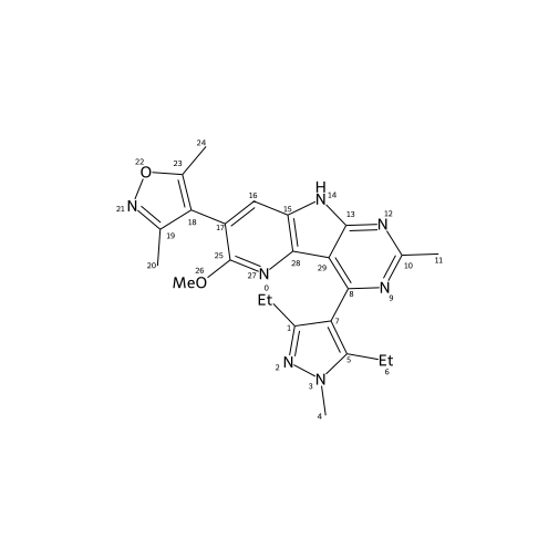 CCc1nn(C)c(CC)c1-c1nc(C)nc2[nH]c3cc(-c4c(C)noc4C)c(OC)nc3c12